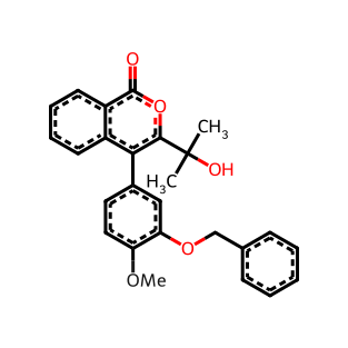 COc1ccc(-c2c(C(C)(C)O)oc(=O)c3ccccc23)cc1OCc1ccccc1